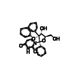 O=c1ccn([C@]2(c3ccccc3)O[C@H](CO)[C@@H](O)[C@]2(Oc2ccccc2)c2ccccc2)c(=O)[nH]1